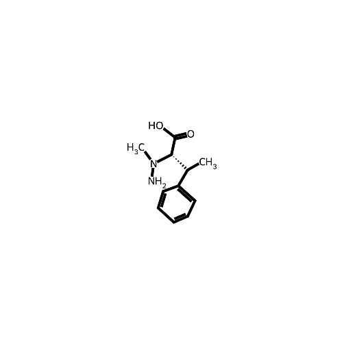 CC(c1ccccc1)[C@@H](C(=O)O)N(C)N